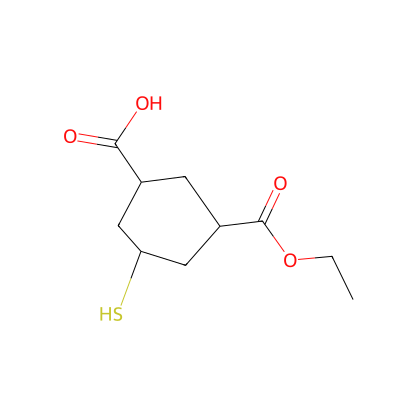 CCOC(=O)C1CC(S)CC(C(=O)O)C1